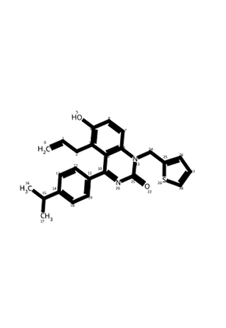 C=CCc1c(O)ccc2c1c(-c1ccc(C(C)C)cc1)nc(=O)n2Cc1cccs1